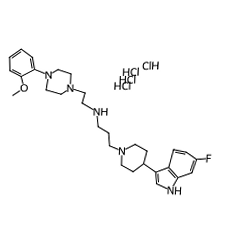 COc1ccccc1N1CCN(CCNCCCN2CCC(c3c[nH]c4cc(F)ccc34)CC2)CC1.Cl.Cl.Cl.Cl